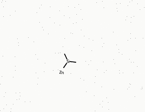 C[Si](C)C.[Zn]